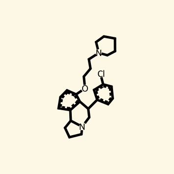 Clc1cccc(C2CN3CCCC3c3cccc(OCCCN4CCCCC4)c32)c1